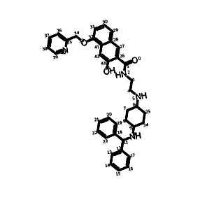 O=C(NCCNC1CCC(NC(c2ccccc2)c2ccccc2)CC1)c1cc2cccc(OCc3ccccn3)c2cc1O